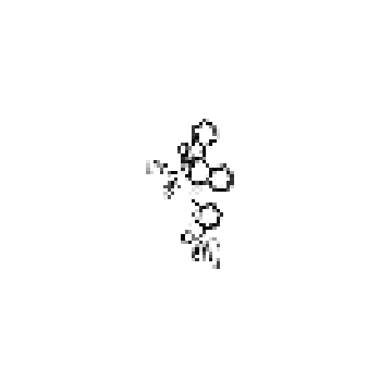 CC(C)[S+]([O-])N[C@@H](Cc1cccc(S(C)(=O)=O)n1)c1ccccc1-c1noc2ccccc12